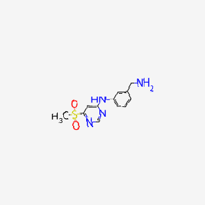 CS(=O)(=O)c1cc(Nc2cccc(CN)c2)ncn1